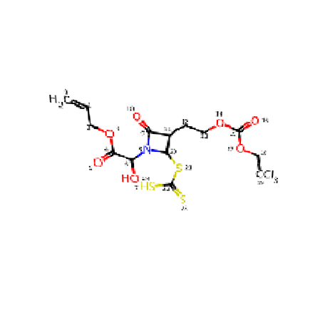 C=CCOC(=O)C(O)N1C(=O)C(CCOC(=O)OCC(Cl)(Cl)Cl)C1SC(=S)S